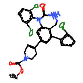 CC(C)(C)OC(=O)N1CC=C(c2cc(-c3ccccc3Cl)c3c(c2)N(c2c(Cl)cccc2Cl)C(=O)NC3)CC1